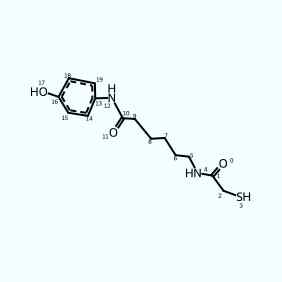 O=C(CS)NCCCCCC(=O)Nc1ccc(O)cc1